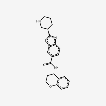 O=C(N[C@H]1CCOc2ccccc21)c1ccc2nc([C@@H]3CCCNC3)sc2c1